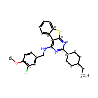 CCOc1ccc(CNc2nc(C3CCC(CC(=O)O)CC3)nc3sc4ccccc4c23)cc1Cl